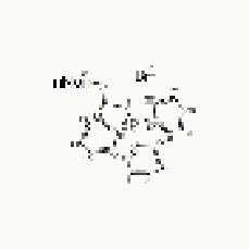 CCCCCCCCCC=CC[P+](c1ccccc1)(c1ccccc1)c1ccccc1.[Br-]